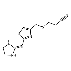 N#CCCSCc1csc(N=C2NCCN2)n1